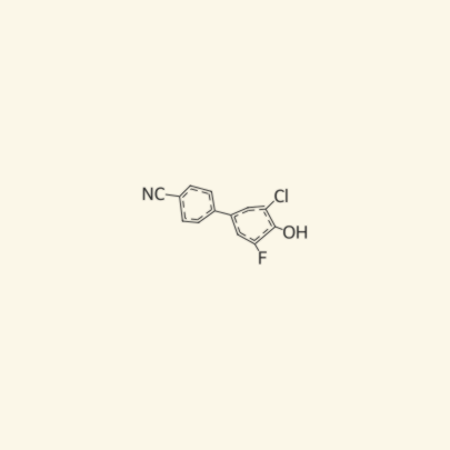 N#Cc1ccc(-c2cc(F)c(O)c(Cl)c2)cc1